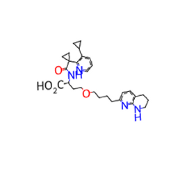 O=C(O)[C@H](CCOCCCCc1ccc2c(n1)NCCC2)NC(=O)C1(c2ncccc2C2CC2)CC1